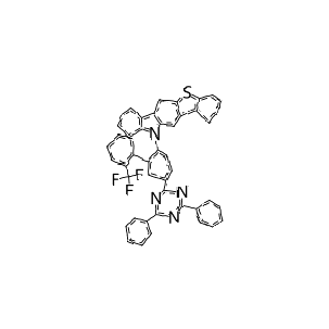 FC(F)(F)c1ccccc1-c1cc(-c2nc(-c3ccccc3)nc(-c3ccccc3)n2)ccc1-n1c2ccccc2c2cc3sc4ccccc4c3cc21